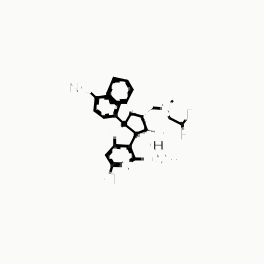 COc1nc(Cl)cc2c1[C@]1(O)[C@H](O)[C@H](CN(C)CC(F)F)[C@@H](c3ccccc3)C1(c1ccc(C#N)cc1)O2